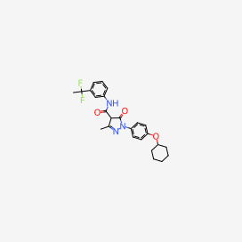 CC1=NN(c2ccc(OC3CCCCC3)cc2)C(=O)C1C(=O)Nc1cccc(C(C)(F)F)c1